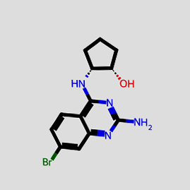 Nc1nc(N[C@@H]2CCC[C@@H]2O)c2ccc(Br)cc2n1